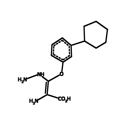 NN/C(Oc1cccc(C2CCCCC2)c1)=C(\N)C(=O)O